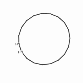 C1CCCCCCCCNNCCCCCCCC1